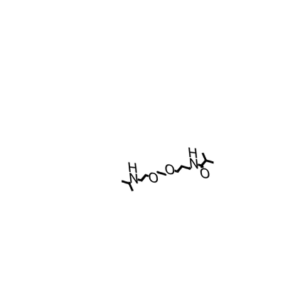 CC(C)NCCOCCOCCCNC(=O)C(C)C